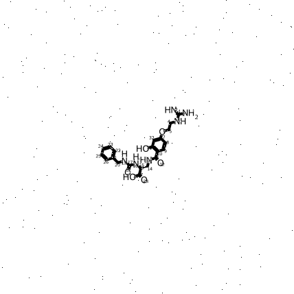 N=C(N)NCCOc1ccc(C(=O)NC[C@H](NC(=O)NCc2ccccc2)C(=O)O)c(O)c1